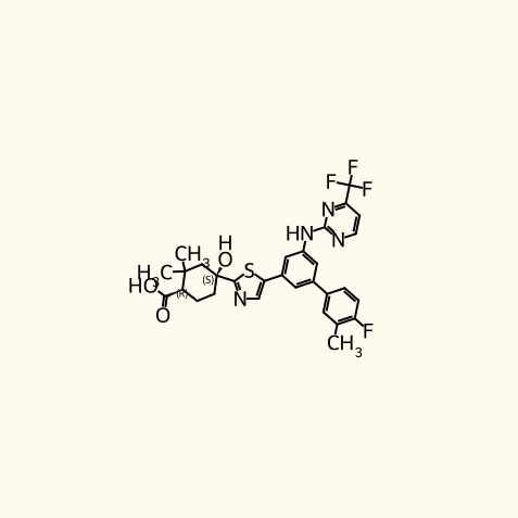 Cc1cc(-c2cc(Nc3nccc(C(F)(F)F)n3)cc(-c3cnc([C@]4(O)CC[C@@H](C(=O)O)C(C)(C)C4)s3)c2)ccc1F